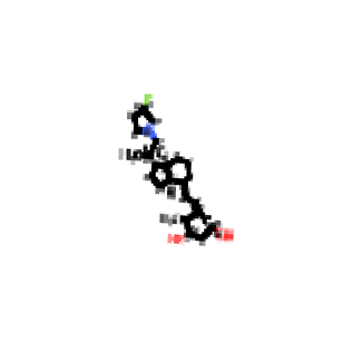 C=C1C(=CC=C2CCC[C@]3(C)[C@@H](C(C)CN4CCC(F)C4)CC[C@@H]23)C[C@@H](O)C[C@@H]1O